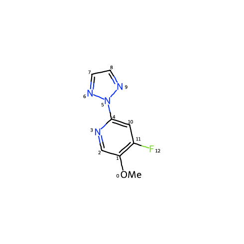 COc1cnc(-n2nccn2)cc1F